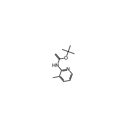 C=C(Nc1ncccc1C)OC(C)(C)C